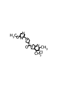 COc1cncc(N2CC[C@@H](C(=O)N3Cc4nc(C)c(Cl)c(C)c4C3)C2)n1